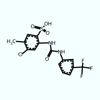 Cc1cc(S(=O)(=O)O)c(NC(=O)Nc2cccc(C(F)(F)F)c2)cc1Cl